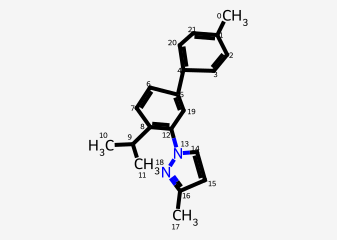 Cc1ccc(-c2ccc(C(C)C)c(-n3ccc(C)n3)c2)cc1